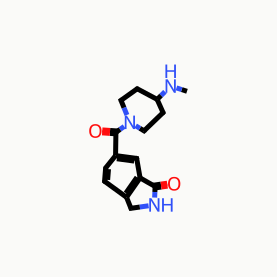 CNC1CCN(C(=O)c2ccc3c(c2)C(=O)NC3)CC1